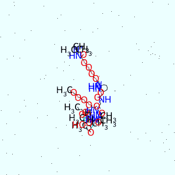 CCCC1O[C@@H]2CC3[C@@H]4C[C@H](F)C5=CC(=O)C=C[C@]5(C)[C@@]4(F)[C@@H](O)C[C@]3(C)[C@]2(C(=O)CNC(=O)[C@H](C)NC(=O)[C@@H](NC(=O)[C@@H](CCCCNC(=O)COC2CCCCCC3=C2NNN3CCOCCOCCOCCOCCC(=O)NCC[N+](C)(C)C)NC(=O)CCOCCOCCOCCOCC)C(C)C)O1